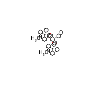 CN1c2ccccc2C(c2ccccc2)(c2ccccc2)c2c(-c3cccc4c(-c5ccc6ccccc6c5)c5cccc(-c6cccc7c6C(c6ccccc6)(c6ccccc6)c6ccccc6N7C)c5cc34)cccc21